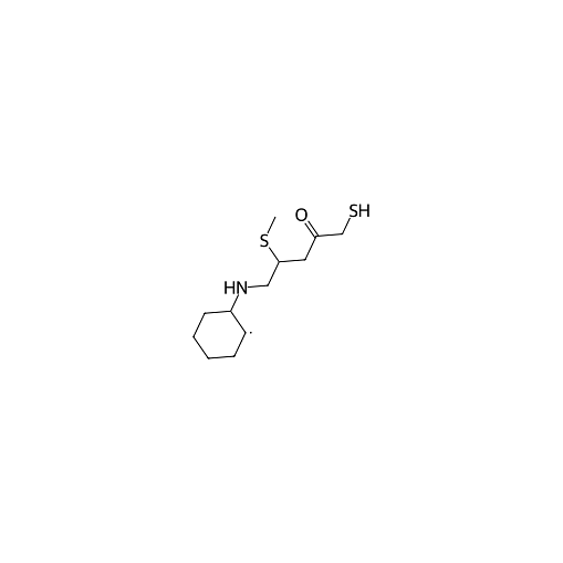 CSC(CNC1[CH]CCCC1)CC(=O)CS